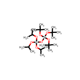 CC(C)[O][Zr]([O]C(C)C)([O]C(C)C)[O][Si](OC(C)(C)C)(OC(C)(C)C)OC(C)(C)C